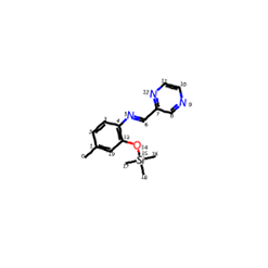 Cc1ccc(N=Cc2cnccn2)c(O[Si](C)(C)C)c1